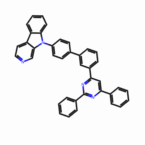 c1ccc(-c2cc(-c3cccc(-c4ccc(-n5c6ccccc6c6ccncc65)cc4)c3)nc(-c3ccccc3)n2)cc1